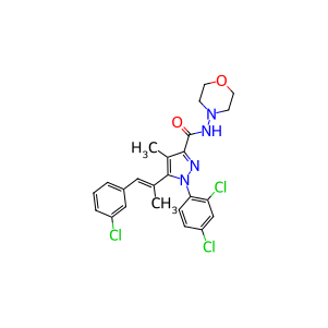 CC(=Cc1cccc(Cl)c1)c1c(C)c(C(=O)NN2CCOCC2)nn1-c1ccc(Cl)cc1Cl